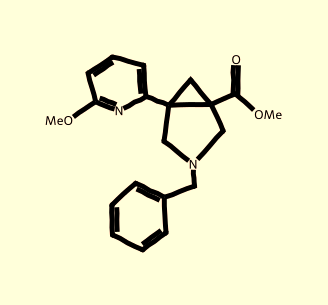 COC(=O)C12CN(Cc3ccccc3)CC1(c1cccc(OC)n1)C2